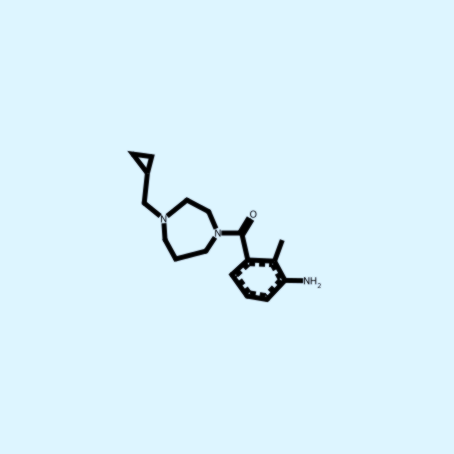 Cc1c(N)cccc1C(=O)N1CCCN(CC2CC2)CC1